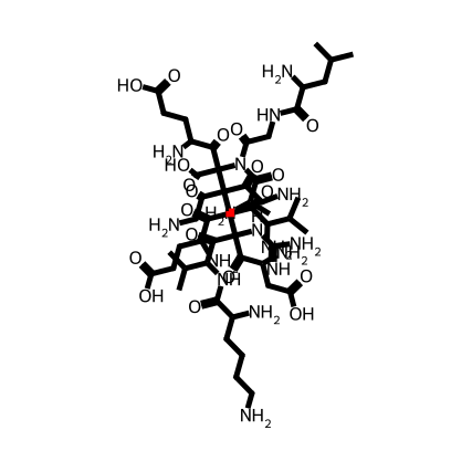 CC(C)CC(N)C(=O)NCC(=O)N(C(=O)C(C)N)C(C(=O)O)(C(=O)C(N)CCC(=O)O)C(C(=O)CN)(C(=O)CN)C(C(=O)C(N)CCC(=O)O)(C(=O)C(N)C(C)C)C(NC(=N)N)(C(=O)C(N)CC(=O)O)C(=O)C(NC(=O)C(N)CCCCN)C(C)C